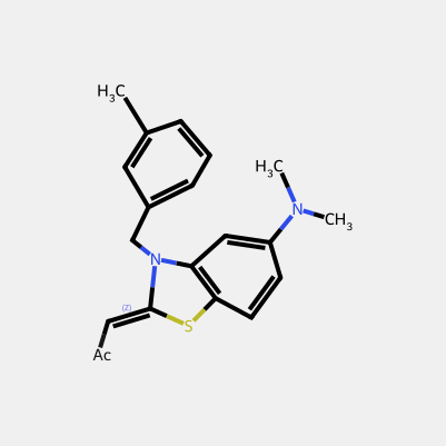 CC(=O)/C=C1\Sc2ccc(N(C)C)cc2N1Cc1cccc(C)c1